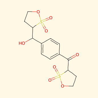 O=C(c1ccc(C(O)C2CCOS2(=O)=O)cc1)C1CCOS1(=O)=O